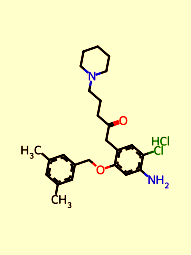 Cc1cc(C)cc(COc2cc(N)c(Cl)cc2CC(=O)CCCN2CCCCC2)c1.Cl